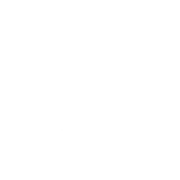 COC(=O)C1=CNC(C)C=C1